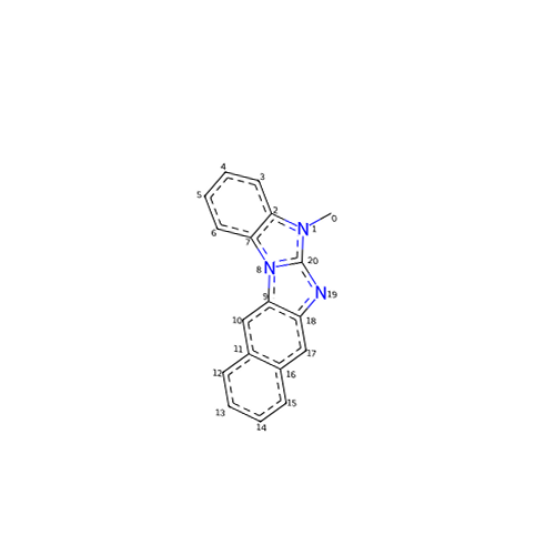 Cn1c2ccccc2n2c3cc4ccccc4cc3nc12